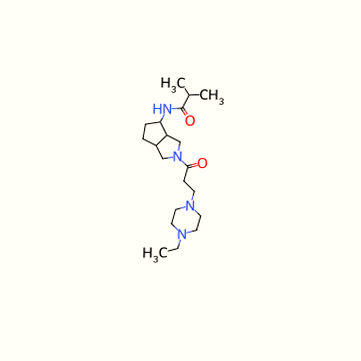 CCN1CCN(CCC(=O)N2CC3CCC(NC(=O)C(C)C)C3C2)CC1